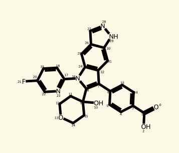 O=C(O)c1ccc(-c2c(C3(O)CCOCC3)n(-c3ccc(F)cn3)c3cc4cn[nH]c4cc23)cc1